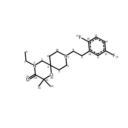 CCN1CC2(CCN(CCc3cc(F)ccc3F)CC2)OC(C)(C)C1=O